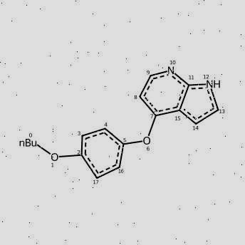 CCCCOc1ccc(Oc2ccnc3[nH]ccc23)cc1